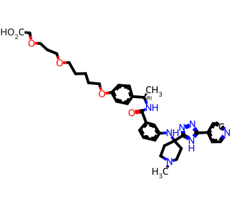 C[C@@H](NC(=O)c1cccc(NC2(c3nnc(-c4ccncc4)[nH]3)CCN(C)CC2)c1)c1ccc(OCCCCCOCCCOCC(=O)O)cc1